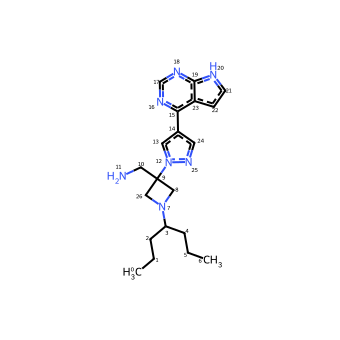 CCCC(CCC)N1CC(CN)(n2cc(-c3ncnc4[nH]ccc34)cn2)C1